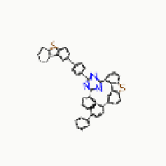 C1=Cc2sc3ccc(-c4ccc(-c5nc(-c6ccccc6)nc(-c6cccc7sc8ccc(-c9ccc(-c%10ccccc%10)cc9)cc8c67)n5)cc4)cc3c2CC1